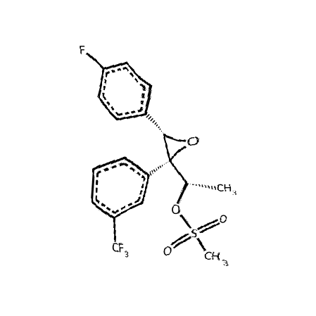 C[C@H](OS(C)(=O)=O)[C@]1(c2cccc(C(F)(F)F)c2)O[C@H]1c1ccc(F)cc1